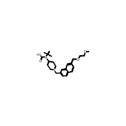 COCCOCc1ccc2ccc(CN3CCC(N(C(=O)O)C(C)(C)C)CC3)cc2c1